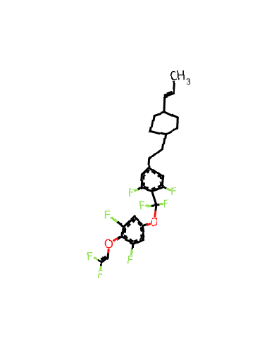 C/C=C/C1CCC(CCc2cc(F)c(C(F)(F)Oc3cc(F)c(OC=C(F)F)c(F)c3)c(F)c2)CC1